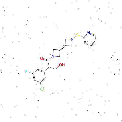 O=C(C(CO)c1cc(F)cc(Cl)c1)N1CC(=C2CN(Sc3ccccn3)C2)C1